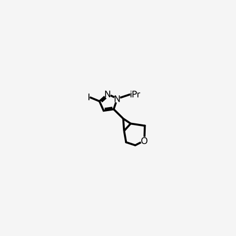 CC(C)n1nc(I)cc1C1C2CCOCC21